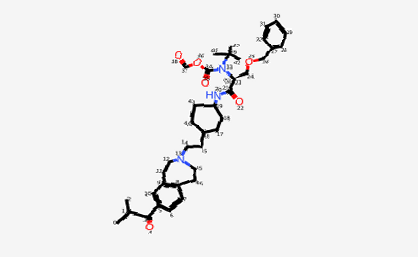 CC(C)C(=O)c1ccc2c(c1)CCN(CCC1CCC(NC(=O)[C@H](COCc3ccccc3)N(C(=O)OC=O)C(C)(C)C)CC1)CC2